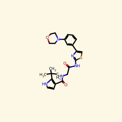 CC(C)(C)c1[nH]ccc1C(=O)NCC(=O)Nc1nc(-c2cccc(N3CCOCC3)c2)cs1